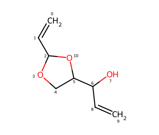 C=CC1OCC(C(O)C=C)O1